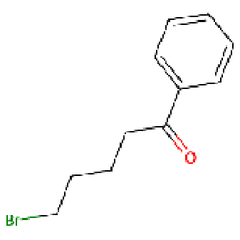 O=C(CCCCBr)c1ccccc1